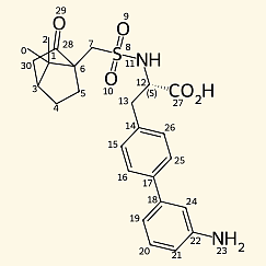 CC1(C)C2CCC1(CS(=O)(=O)N[C@@H](Cc1ccc(-c3cccc(N)c3)cc1)C(=O)O)C(=O)C2